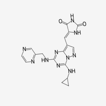 O=C1NC(=O)/C(=C/c2cnn3c(NC4CC4)nc(NCc4cnccn4)nc23)N1